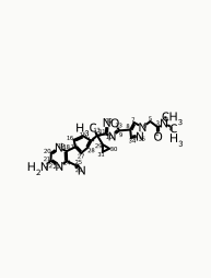 CN(C)C(=O)Cn1cc(-c2nc(C(C)(c3ccc(-c4ncc(N)nc4C#N)cc3)C3CC3)no2)cn1